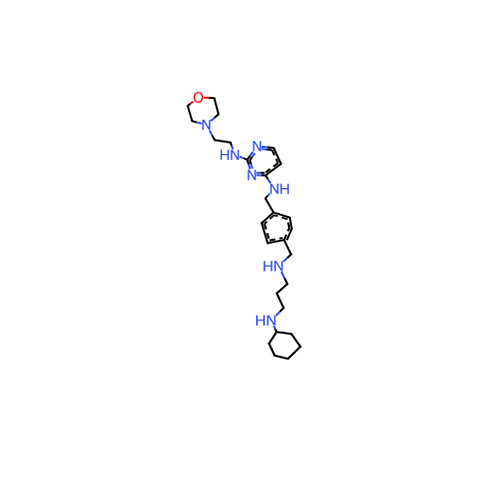 c1cc(NCc2ccc(CNCCCNC3CCCCC3)cc2)nc(NCCN2CCOCC2)n1